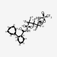 O=C(NS(=O)(=O)C(F)(F)C(F)(F)C(F)(F)S(=O)(=O)NS(=O)(=O)C(F)(F)F)c1ccccc1-c1ccccc1